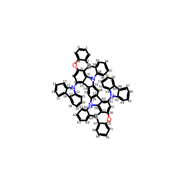 c1ccc2c(c1)Oc1cc(-n3c4ccccc4c4ccccc43)c3c4cc5c(cc4n4c3c1B2c1ccccc1-4)c1c(-n2c3ccccc3c3ccccc32)cc2c3c1n5-c1ccccc1B3c1ccccc1O2